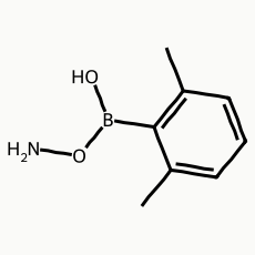 Cc1cccc(C)c1B(O)ON